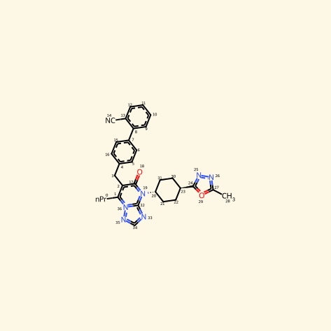 CCCc1c(Cc2ccc(-c3ccccc3C#N)cc2)c(=O)n([C@H]2CC[C@H](c3nnc(C)o3)CC2)c2ncnn12